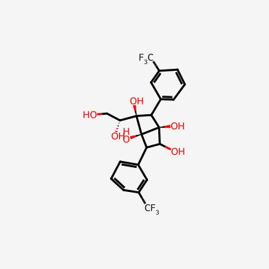 OC[C@@H](O)[C@]1(O)C(c2cccc(C(F)(F)F)c2)[C@]2(O)C(O)C(c3cccc(C(F)(F)F)c3)[C@@]21O